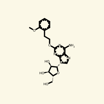 COc1ccccc1CCOc1nc(N)c2ncn([C@@H]3O[C@H](CO)[C@@H](O)[C@H]3O)c2n1